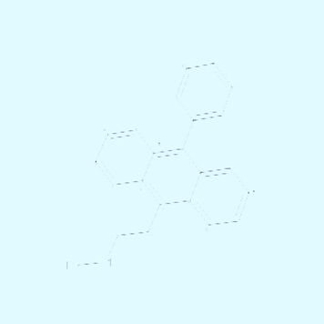 OPCCc1c2ccccc2c(-c2ccccc2)c2ccccc12